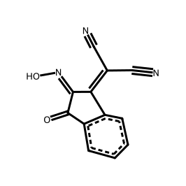 N#CC(C#N)=C1C(=NO)C(=O)c2ccccc21